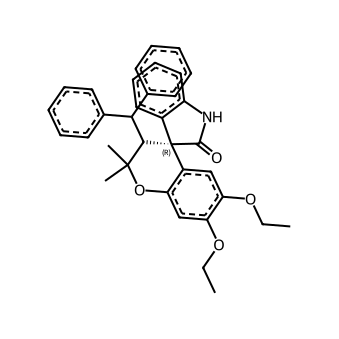 CCOc1cc2c(cc1OCC)[C@@]1(C(=O)Nc3ccccc31)C(C(c1ccccc1)c1ccccc1)C(C)(C)O2